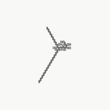 CCCCCCCCCCCCCCCCCCCCCCCCCC(=O)N[C@H](CCC1OC(CO)C(O)C(O)C1O)[C@H](O)[C@@H](O)CCCCCCCCCCCCCC